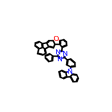 C1=C2C(=CC3c4c(cccc4-c4nc(-c5ccccc5)nc(-c5cccc(-n6c7ccccc7c7ccccc76)c5)n4)OC13)c1cccc3cccc2c13